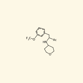 CC(=O)C(Cc1cccc(OC(F)(F)F)c1)NC1CCOCC1